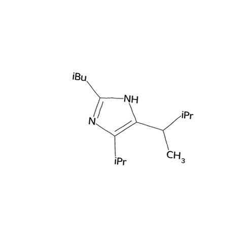 CCC(C)c1nc(C(C)C)c(C(C)C(C)C)[nH]1